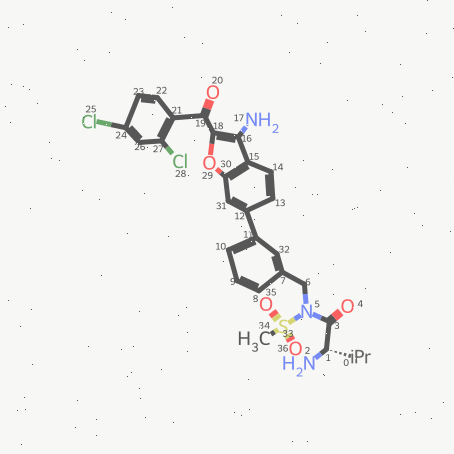 CC(C)[C@H](N)C(=O)N(Cc1cccc(-c2ccc3c(N)c(C(=O)c4ccc(Cl)cc4Cl)oc3c2)c1)S(C)(=O)=O